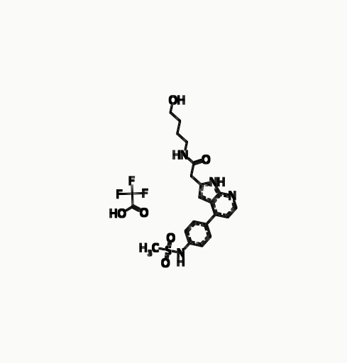 CS(=O)(=O)Nc1ccc(-c2ccnc3[nH]c(CC(=O)NCCCCO)cc23)cc1.O=C(O)C(F)(F)F